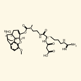 COc1ccc2c3c1O[C@@H]1C(OC(=O)N(C)CCNC(=O)[C@H](CCCCNC(=N)N)NC(=O)CC(=O)O)=CC[C@]4(O)[C@@H](CCC[C@@]314)C2